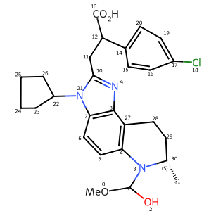 COC(O)N1c2ccc3c(nc(CC(C(=O)O)c4ccc(Cl)cc4)n3C3CCCC3)c2CC[C@@H]1C